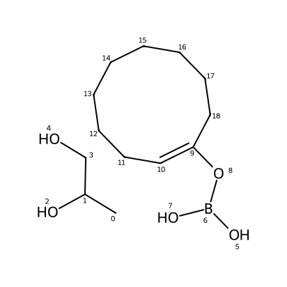 CC(O)CO.OB(O)OC1=CCCCCCCCC1